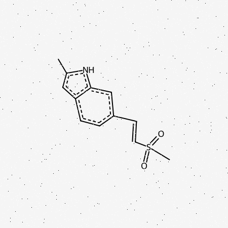 Cc1cc2ccc(C=CS(C)(=O)=O)cc2[nH]1